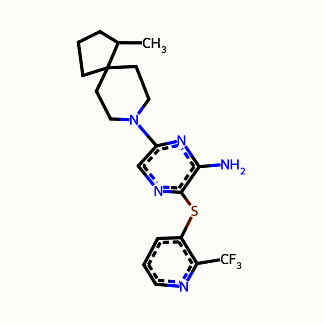 CC1CCCC12CCN(c1cnc(Sc3cccnc3C(F)(F)F)c(N)n1)CC2